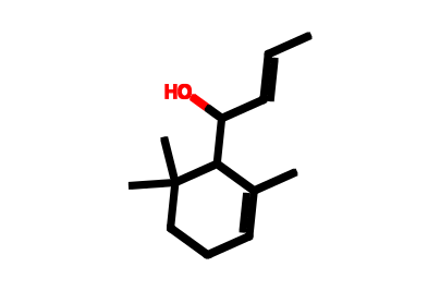 C/C=C/C(O)C1C(C)=CCCC1(C)C